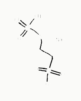 CS(=O)(=O)SCCS(=O)(=O)[O-].[Na+]